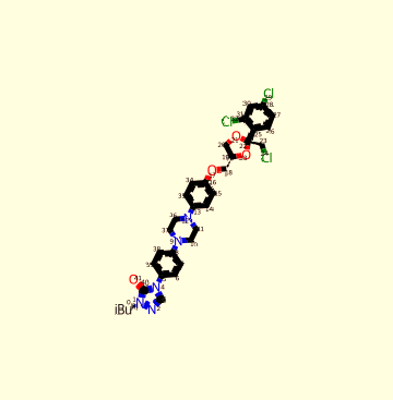 CC[C@@H](C)n1ncn(-c2ccc(N3CCN(c4ccc(OC[C@@H]5CO[C@](CCl)(c6ccc(Cl)cc6Cl)O5)cc4)CC3)cc2)c1=O